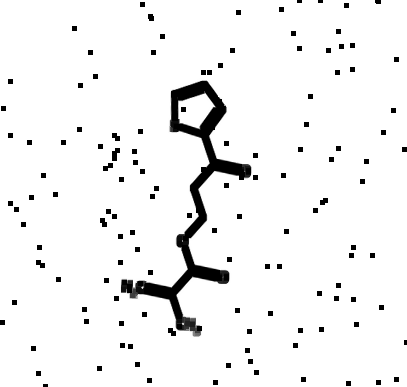 C=C(C)C(=O)OCCC(=O)c1cccs1